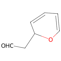 O=CCC1C=CC=CO1